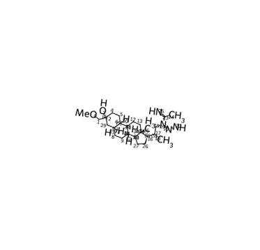 COC[C@@]1(O)CC[C@H]2[C@@H](CC[C@@H]3[C@@H]2CC[C@]2(C)[C@@H]([C@H](C)CN(N=N)C(C)=N)CC[C@@H]32)C1